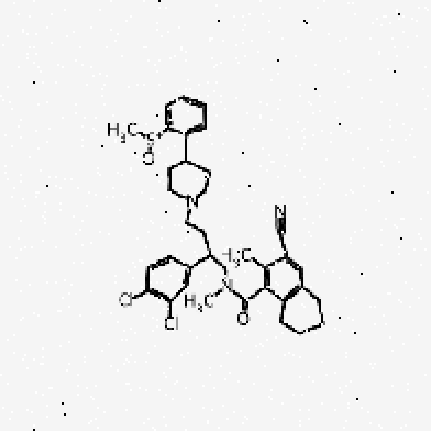 Cc1c(C#N)cc2c(c1C(=O)N(C)CC(CCN1CCC(c3ccccc3[S+](C)[O-])CC1)c1ccc(Cl)c(Cl)c1)CCCC2